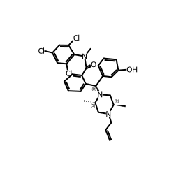 C=CCN1C[C@H](C)N([C@H](c2cccc(O)c2)c2ccccc2C(=O)N(C)c2c(Cl)cc(Cl)cc2Cl)C[C@H]1C